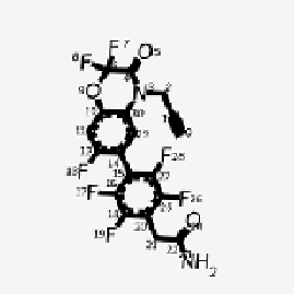 C#CCN1C(=O)C(F)(F)Oc2cc(F)c(-c3c(F)c(F)c(CC(N)=O)c(F)c3F)cc21